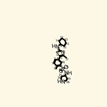 Cc1ccc(-c2sc(NC3CCCCC3)nc2C)cc1S(=O)(=O)NC1CCNCC1